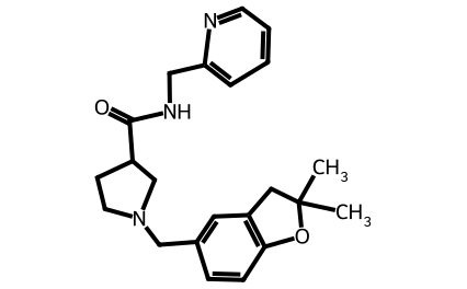 CC1(C)Cc2cc(CN3CCC(C(=O)NCc4ccccn4)C3)ccc2O1